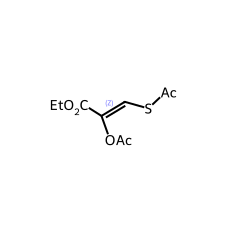 CCOC(=O)/C(=C/SC(C)=O)OC(C)=O